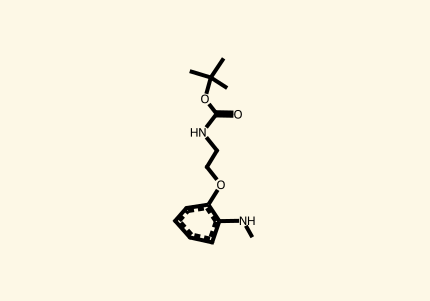 CNc1ccccc1OCCNC(=O)OC(C)(C)C